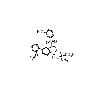 CC(C)(C[C@H]1CN(S(=O)(=O)c2cccc(C(F)(F)F)c2)c2cc(-c3ccccc3OC(F)(F)F)ccc2O1)C(=O)O